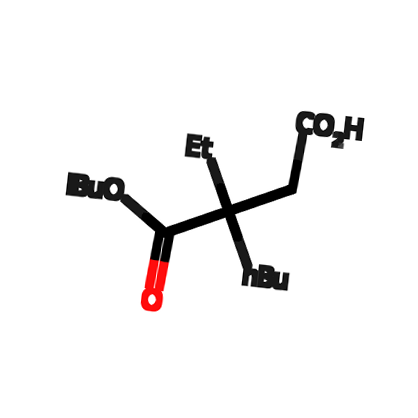 CCCCC(CC)(CC(=O)O)C(=O)OCC(C)C